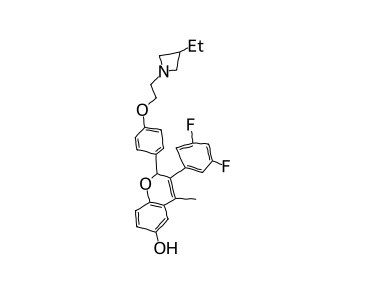 CCC1CN(CCOc2ccc(C3Oc4ccc(O)cc4C(C)=C3c3cc(F)cc(F)c3)cc2)C1